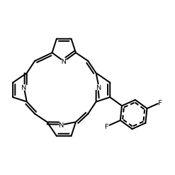 Fc1ccc(F)c(C2=CC3=CC4=NC(=CC5=NC(=CC6=NC(=CC2=N3)C=C6)C=C5)C=C4)c1